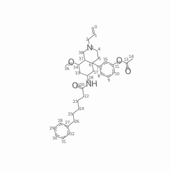 C=CCN1CCC2(c3cccc(OC(C)=O)c3)CC(NC(=O)CCCCCc3ccccc3)CC(OC)C2C1